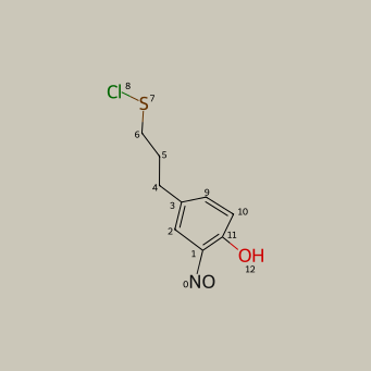 O=Nc1cc(CCCSCl)ccc1O